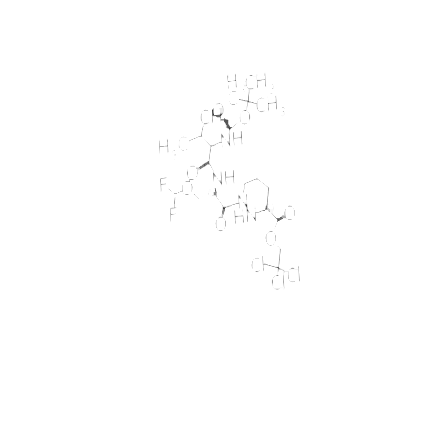 CC(C)C(NC(=O)OC(C)(C)C)C(=O)N[C@@H](COC(F)F)C(=O)N1CCC[C@@H](C(=O)OCC(Cl)(Cl)Cl)N1